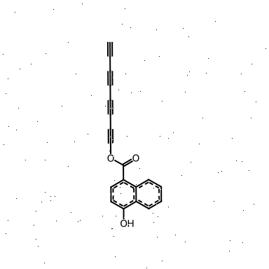 C#CC#CC#CC#COC(=O)c1ccc(O)c2ccccc12